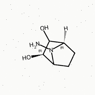 NN1C2CC[C@@H]1C(O)[C@@H]2O